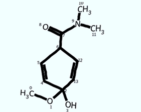 COC1(O)C=CC(C(=O)N(C)C)C=C1